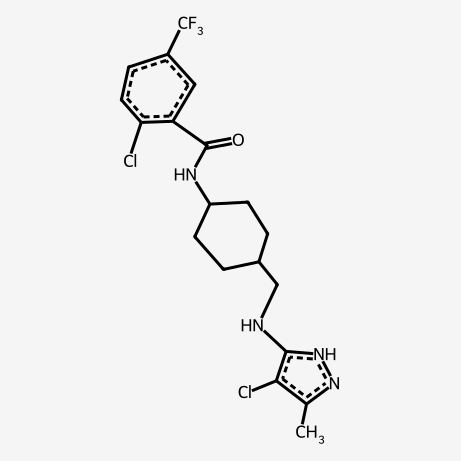 Cc1n[nH]c(NCC2CCC(NC(=O)c3cc(C(F)(F)F)ccc3Cl)CC2)c1Cl